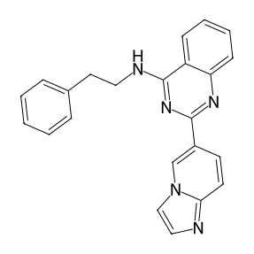 c1ccc(CCNc2nc(-c3ccc4nccn4c3)nc3ccccc23)cc1